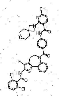 Cc1ccc(C(=O)Nc2ccc(C(=O)N3CCc4c(sc(NC(=O)c5c(Cl)cccc5Cl)c4F)-c4ccccc43)cc2)c(N2CC3(CCOCC3)C2)n1